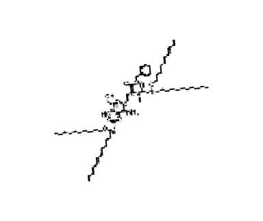 CCCCCCCCCCC[C@H](CC(=O)N[C@@H](CC[C@@H]1O[C@H](CO)[C@@H](O)[C@H](OC(=O)C[C@@H](CCCCCCCCCCC)OCCCCCCCCCC)[C@H]1N)C(=O)OCc1ccccc1)OCCCCCCCCCC